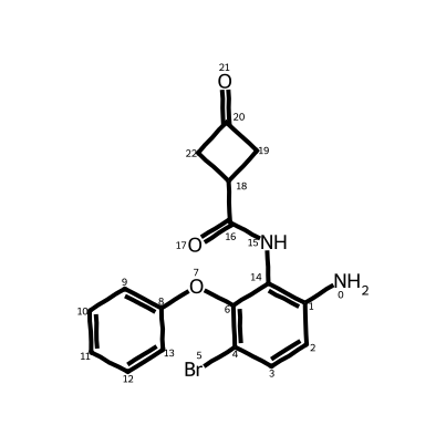 Nc1ccc(Br)c(Oc2ccccc2)c1NC(=O)C1CC(=O)C1